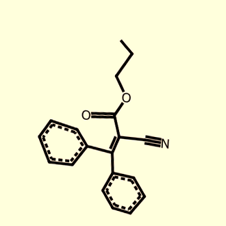 CCCOC(=O)C(C#N)=C(c1ccccc1)c1ccccc1